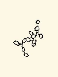 c1ccc(-c2ccc(N(c3ccccc3)c3ccc4cc5c(cc4c3)C3(c4cc(N(c6ccccc6)c6ccc(-c7ccccc7)cc6)c6ccccc6c4-5)C4CC5CC(C4)CC3C5)cc2)cc1